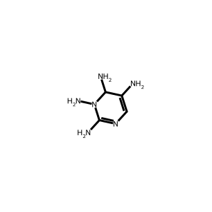 NC1=CN=C(N)N(N)C1N